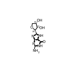 Nc1nc2nc([C@H]3OC[C@H](O)[C@@H]3O)[nH]c2c(=O)[nH]1